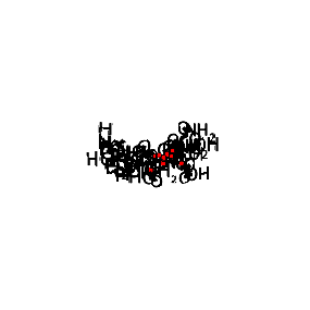 CC(C)C[C@@](C(=O)O)(C(CCCC(=O)C(=O)O)[C@@](CCCC(=O)C(=O)O)(OC(=O)[C@@H](N)CCC(N)=O)C(=O)O)N(C)[C@@H](CCCC(=O)C(=O)O)[C@@](CCCC(=O)C(=O)O)(OC(=O)[C@@H](N)CCC(N)=O)C(=O)O.CN[C@@H](CC(C)C)C(=O)O.O=C(O)C1CCCC1.O=C1CC[C@@H](C(=O)O)N1